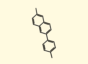 Cc1ccc(-c2ccc3cc(C)ccc3c2)cc1